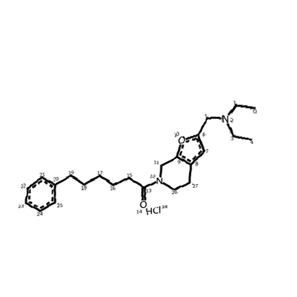 CCN(CC)Cc1cc2c(o1)CN(C(=O)CCCCCc1ccccc1)CC2.Cl